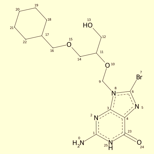 Nc1nc2c(nc(Br)n2COC(CO)COCC2CCCCC2)c(=O)[nH]1